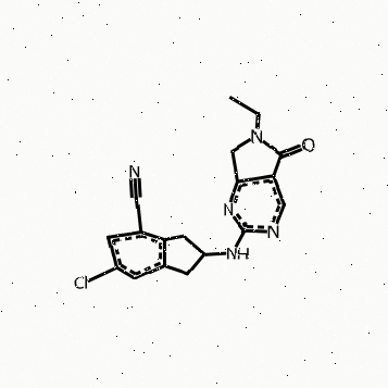 CCN1Cc2nc(NC3Cc4cc(Cl)cc(C#N)c4C3)ncc2C1=O